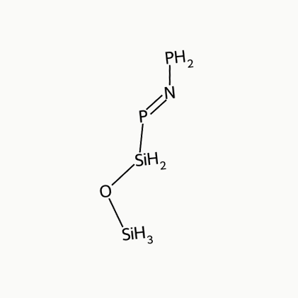 [SiH3]O[SiH2]P=NP